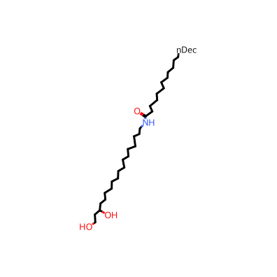 CCCCCCCCCCCCCCCCCCCCCC(=O)NCCCCCCCCCCCCCCCC(O)CCO